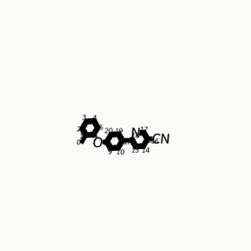 Cc1ccccc1Oc1ccc(-c2ccc(C#N)cn2)cc1